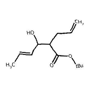 C=CCC(C(=O)OC(C)(C)C)C(O)/C=C/C